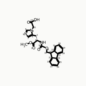 COC(=O)[C@H](Cc1cncn1CC(=O)O)NC(=O)OCC1c2ccccc2-c2ccccc21